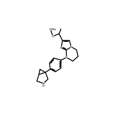 COOC(C)c1cn2c(n1)N(c1ccc(C34CNCC3C4)cc1)CCC2